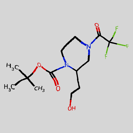 CC(C)(C)OC(=O)N1CCN(C(=O)C(F)(F)F)CC1CCO